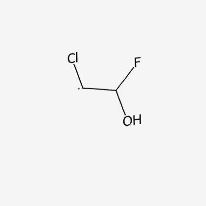 OC(F)[CH]Cl